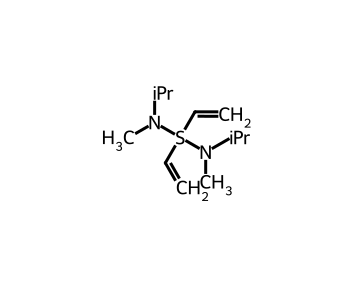 C=CS(C=C)(N(C)C(C)C)N(C)C(C)C